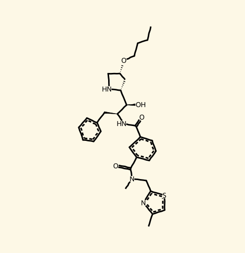 CCCCO[C@H]1CN[C@@H]([C@@H](O)[C@H](Cc2ccccc2)NC(=O)c2cccc(C(=O)N(C)Cc3nc(C)cs3)c2)C1